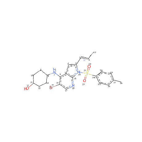 C/C=C/c1cc2c(NC3CCC(O)CC3)c(Br)cnc2n1S(=O)(=O)c1ccc(C)cc1